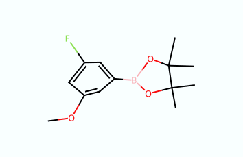 COc1cc(F)cc(B2OC(C)(C)C(C)(C)O2)c1